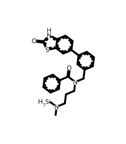 CN([SiH3])CCCN(Cc1cccc(-c2ccc3[nH]c(=O)sc3c2)c1)C(=O)c1ccccc1